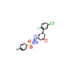 Cc1ccc(S(=O)(=O)NNC2CC(=O)CC(c3cc(Cl)ccc3F)C2)cc1